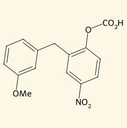 COc1cccc(Cc2cc([N+](=O)[O-])ccc2OC(=O)O)c1